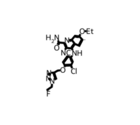 CCOc1[c]cc2c(Nc3ccc(OCc4cn(CCF)nn4)c(Cl)c3)c(C#N)c(C(N)=O)nc2c1